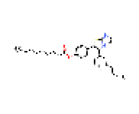 CCCCCCCCC(=O)Oc1ccc(-c2sc3nccn3c2C(CC)CCCCC)cc1